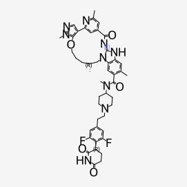 Cc1cc2cc(n1)-c1cnn(C)c1OCCC[C@@H](C)CN1/C(=N/C2=O)Nc2cc(C)c(C(=O)N(C)C3CCN(CCc4cc(F)c([C@H]5CCC(=O)NC5=O)c(F)c4)CC3)cc21